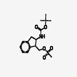 CC(C)(C)OC(=O)NC1Cc2ccccc2C1COS(C)(=O)=O